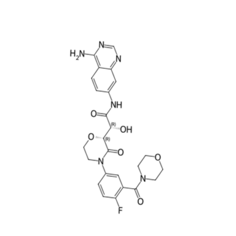 Nc1ncnc2cc(NC(=O)[C@H](O)[C@H]3OCCN(c4ccc(F)c(C(=O)N5CCOCC5)c4)C3=O)ccc12